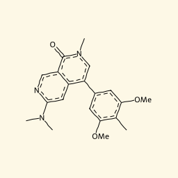 COc1cc(-c2cn(C)c(=O)c3cnc(N(C)C)cc23)cc(OC)c1C